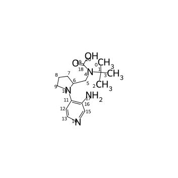 CC(C)(C)N(CC1CCCN1c1ccncc1N)C(=O)O